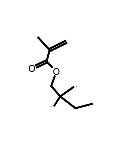 [CH2]C([CH2])(CC)COC(=O)C(=C)C